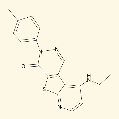 CCNc1ccnc2sc3c(=O)n(-c4ccc(C)cc4)ncc3c12